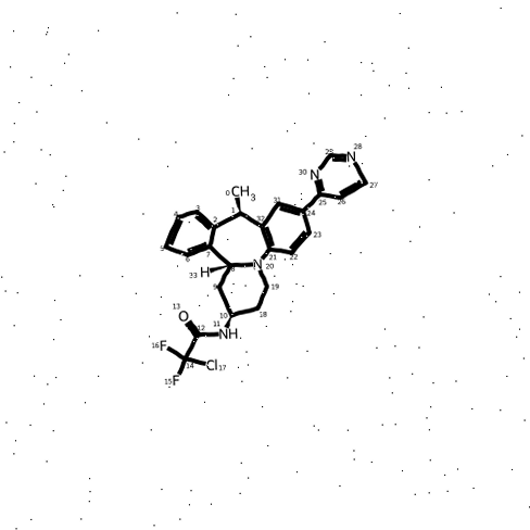 C[C@@H]1c2ccccc2[C@H]2C[C@H](NC(=O)C(F)(F)Cl)CCN2c2ccc(-c3ccncn3)cc21